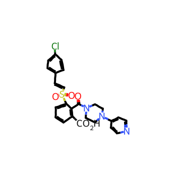 O=C(O)c1cccc(S(=O)(=O)C=Cc2ccc(Cl)cc2)c1C(=O)N1CCN(c2ccncc2)CC1